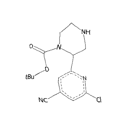 CC(C)(C)OC(=O)N1CCNCC1c1cc(C#N)cc(Cl)n1